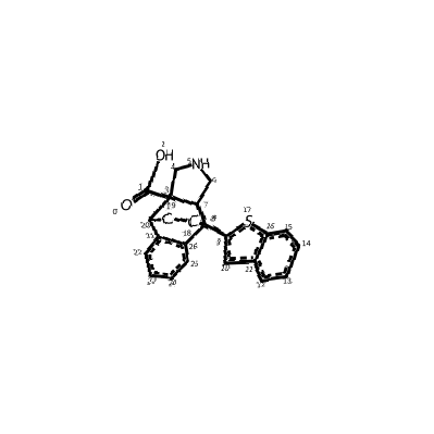 O=C(O)C12CNCC1C1(c3cc4ccccc4s3)CCC2c2ccccc21